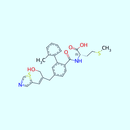 CSCC[C@H](NC(=O)c1ccc(CC(=Cc2cncs2)CO)cc1-c1ccccc1C)C(=O)O